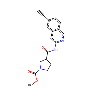 C#Cc1ccc2cnc(NC(=O)C3CCN(C(=O)OC(C)(C)C)C3)cc2c1